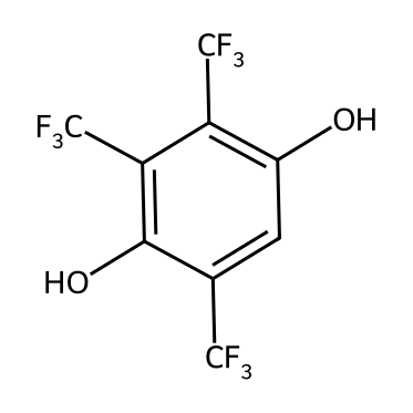 Oc1cc(C(F)(F)F)c(O)c(C(F)(F)F)c1C(F)(F)F